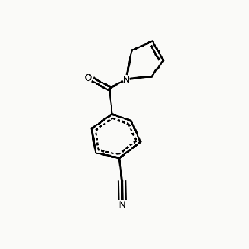 N#Cc1ccc(C(=O)N2CC=CC2)cc1